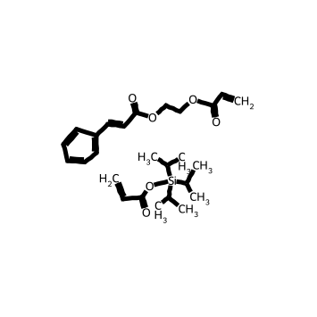 C=CC(=O)OCCOC(=O)C=Cc1ccccc1.C=CC(=O)O[Si](C(C)C)(C(C)C)C(C)C